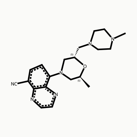 C[C@H]1CN(c2ccc(C#N)c3nccnc23)C[C@H](CN2CCN(C)CC2)O1